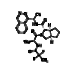 CC(F)(F)C(=O)N[C@H](C(=O)N1C[C@@H]2CCC[C@@H]2[C@H]1C(=O)NC(C#N)c1nncc2ccccc12)C(C)(C)C